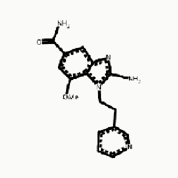 COc1cc(C(N)=O)cc2nc(N)n(CCc3cccnc3)c12